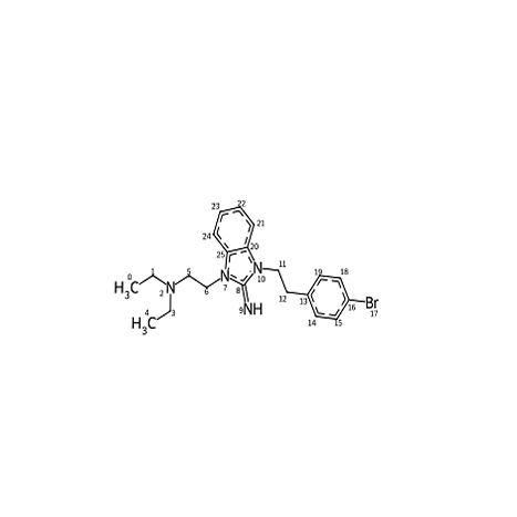 CCN(CC)CCn1c(=N)n(CCc2ccc(Br)cc2)c2ccccc21